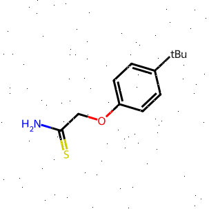 CC(C)(C)c1ccc(OCC(N)=S)cc1